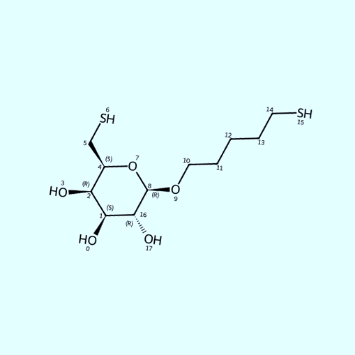 O[C@H]1[C@@H](O)[C@@H](CS)O[C@@H](OCCCCCS)[C@@H]1O